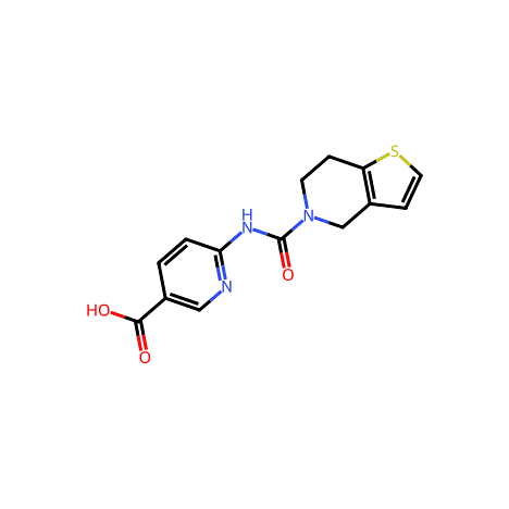 O=C(O)c1ccc(NC(=O)N2CCc3sccc3C2)nc1